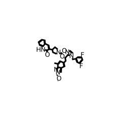 COCn1cc2cc(CC(OC(=O)N3CCC(c4cc5ccccc5[nH]c4=O)CC3)c3nccn3Cc3cc(F)cc(F)c3)cc(C)c2n1